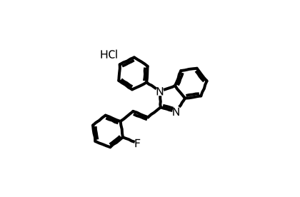 Cl.Fc1ccccc1C=Cc1nc2ccccc2n1-c1ccccc1